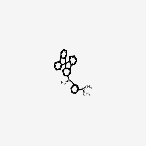 CN(C)c1cccc(CN(C)c2ccc3c(c2)-c2ccccc2C32c3ccccc3-c3ccccc32)c1